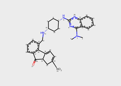 CN(C)c1nc(N[C@H]2CC[C@@H](NCc3cccc4c3C3=CC=C([N+](=O)[O-])CC3C4=O)CC2)nc2ccccc12